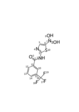 O=C(Nc1ncc(N(O)O)s1)c1cccc(C(F)(F)F)c1